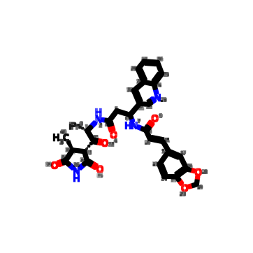 CC(C)[C@H](NC(=O)CC(NC(=O)/C=C/c1ccc2c(c1)OCO2)c1cnc2ccccc2c1)C(=O)[C@@H]1C(=O)NC(=O)[C@H]1C